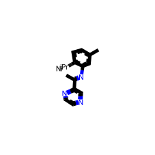 CC(=Nc1cc(C)ccc1C(C)C)c1cnccn1.[Ni]